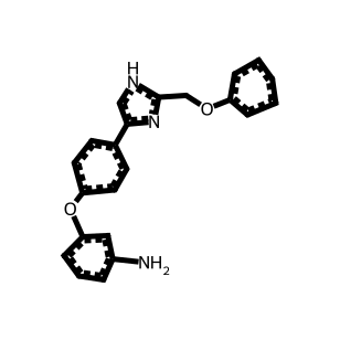 Nc1cccc(Oc2ccc(-c3c[nH]c(COc4ccccc4)n3)cc2)c1